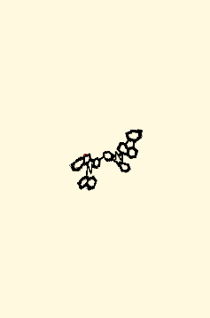 c1ccc2c(c1)-c1cccc3c(-n4c5ccccc5c5cc(-c6ccc7c(c6)c6ccc8ccccc8c6n7-c6cccc7ccccc67)ccc54)ccc-2c13